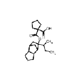 CCC(C)C1(OC(=O)C2(C(=O)O)CCCC2)CC2CC1C1CCCC21